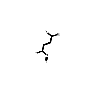 CCC(CC)CCC(CC)P=O